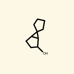 OC1CCC2C1C21CCCC1